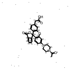 CC(=O)N1CCN(c2ccc3c(c2)Oc2cc(CC(=O)O)ccc2C32OC(=O)c3ccccc32)CC1